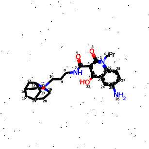 CC(C)n1c(=O)c(C(=O)NCCCN2C3CC4CC(C3)CC2C4)c(O)c2cc(N)ccc21